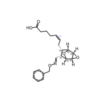 O=C(O)CCC/C=C\C[C@H]1[C@@H](C=NOCc2ccccc2)[C@@H]2O[C@H]1[C@@H]1O[C@@H]12